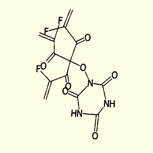 C=C(F)C(=O)C(On1c(=O)[nH]c(=O)[nH]c1=O)(C(=O)C(=C)F)C(=O)C(=C)F